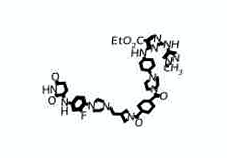 CCOC(=O)c1cnc(Nc2cnn(C)c2)nc1NC1CCC(N2CCN(C(=O)C3CCC(C(=O)N4CC(CCN5CCN(c6ccc(NC7CCC(=O)NC7=O)cc6F)CC5)C4)CC3)CC2)CC1